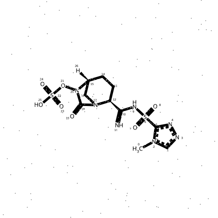 Cn1cnnc1S(=O)(=O)NC(=N)[C@@H]1CC[C@@H]2CN1C(=O)N2OS(=O)(=O)O